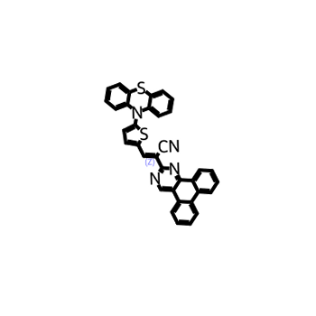 N#C/C(=C\c1ccc(N2c3ccccc3Sc3ccccc32)s1)c1ncc2c3ccccc3c3ccccc3c2n1